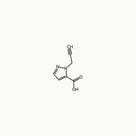 C#CCn1nccc1C(=O)O